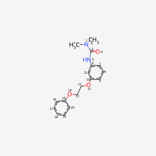 CN(C)C(=O)Nc1cccc(OCCOc2ccccc2)c1